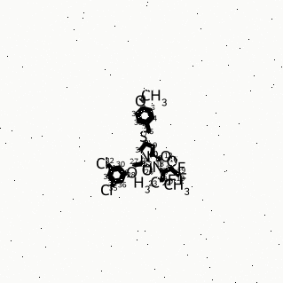 COc1ccc(CS[C@@H]2C[C@@H](C(=O)N[C@H](C(=O)C(F)(F)F)C(C)C)N(C(=O)COc3cc(Cl)cc(Cl)c3)C2)cc1